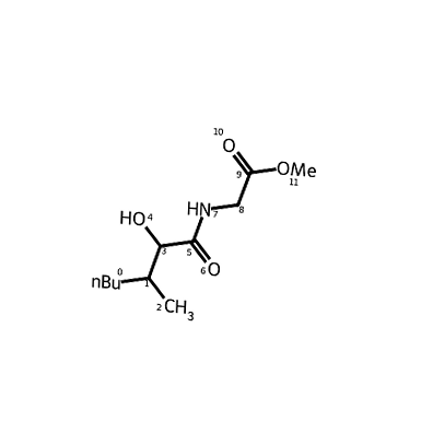 CCCCC(C)C(O)C(=O)NCC(=O)OC